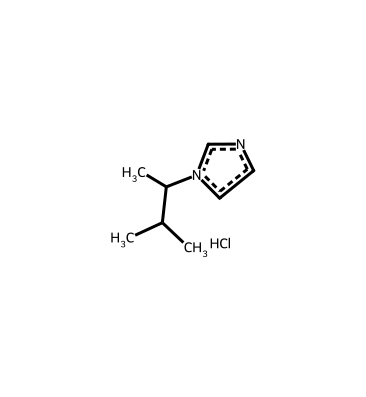 CC(C)C(C)n1ccnc1.Cl